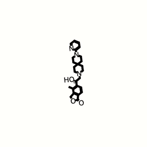 Cc1c([C@@H](O)CN2CCC3(CC2)CCN(c2ccccn2)CC3)ccc2c1COC2=O